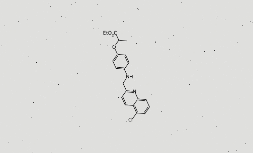 CCOC(=O)C(C)Oc1ccc(NCc2ccc3c(Cl)cccc3n2)cc1